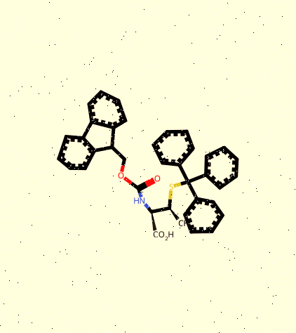 C[C@H](SC(c1ccccc1)(c1ccccc1)c1ccccc1)[C@H](NC(=O)OCC1c2ccccc2-c2ccccc21)C(=O)O